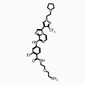 CCc1cc(Nc2nccn3c(-c4cn(CCN5CCCC5)nc4C(F)(F)F)cnc23)ccc1C(=O)NCCOCCN